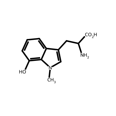 Cn1cc(CC(N)C(=O)O)c2cccc(O)c21